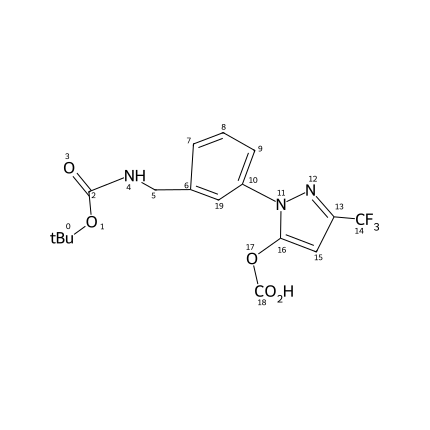 CC(C)(C)OC(=O)NCc1cccc(-n2nc(C(F)(F)F)cc2OC(=O)O)c1